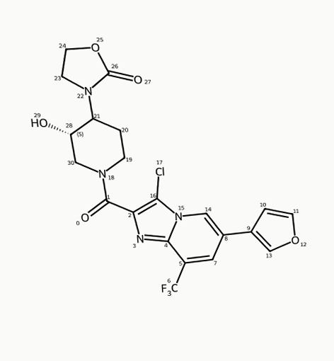 O=C(c1nc2c(C(F)(F)F)cc(-c3ccoc3)cn2c1Cl)N1CCC(N2CCOC2=O)[C@@H](O)C1